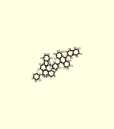 c1ccc(-c2nc3ccccc3c3c2ccc2c4ccccc4n(-c4cccc(-c5c6ccccc6c(-c6ccc7ccccc7c6)c6ccccc56)c4)c23)cc1